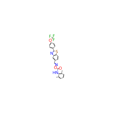 Cc1cccc(C)c1NC(=O)O/N=C/c1ccc2sc(-c3ccc(OC(F)(F)F)cc3)nc2c1